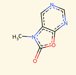 Cn1c(=O)oc2ncncc21